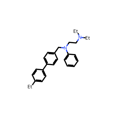 CCc1ccc(-c2ccc(CN(CCN(CC)CC)c3ccccc3)cc2)cc1